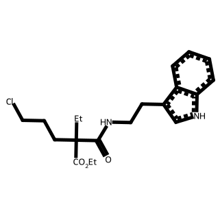 CCOC(=O)C(CC)(CCCCl)C(=O)NCCc1c[nH]c2ccccc12